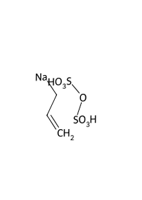 C=C[CH2][Na].O=S(=O)(O)OS(=O)(=O)O